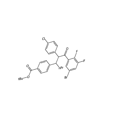 CCCC(c1ccc(C(=O)OC(C)(C)C)cc1)C(C(=O)c1cc(Br)cc(F)c1F)c1ccc(Cl)cc1